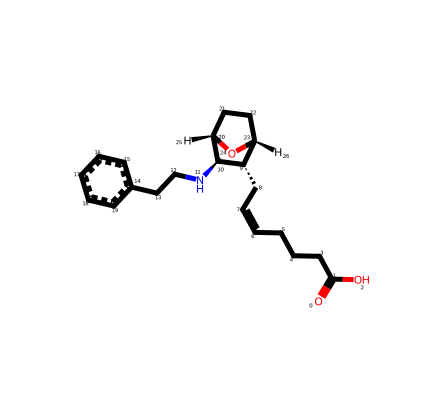 O=C(O)CCC/C=C\C[C@@H]1[C@@H](NCCc2ccccc2)[C@@H]2CC[C@H]1O2